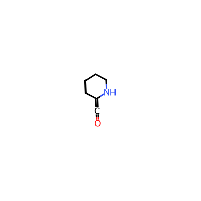 O=C=C1CCCCN1